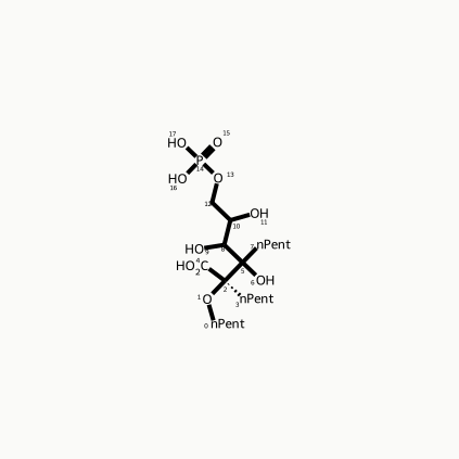 CCCCCO[C@@](CCCCC)(C(=O)O)C(O)(CCCCC)C(O)C(O)COP(=O)(O)O